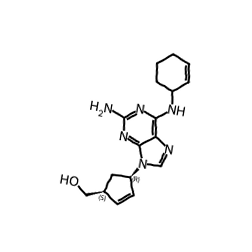 Nc1nc(NC2C=CCCC2)c2ncn([C@H]3C=C[C@@H](CO)C3)c2n1